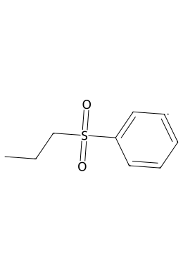 CCCS(=O)(=O)c1c[c]ccc1